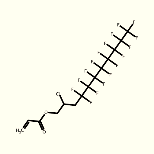 C=CC(=O)OCC(Cl)CC(F)(F)C(F)(F)C(F)(F)C(F)(F)C(F)(F)C(F)(F)C(F)(F)C(F)(F)F